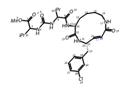 COC(=O)C(NC(=O)NC(C(=O)N[C@H]1CCCCNC(=O)/C=C/[C@H](Cc2cccc(Cl)c2)NC1=O)C(C)C)C(C)C